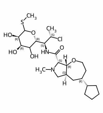 CSC1O[C@H]([C@H](NC(=O)[C@@H]2[C@@H]3OCC[C@H](C4CCCC4)C[C@H]3CN2C)[C@H](C)Cl)C(O)[C@@H](O)[C@H]1O